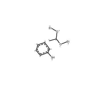 CCOC(C)OCC.Sc1ccccc1